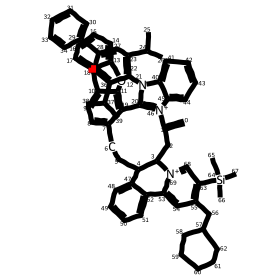 C=C1CC2C(CCc3ccc4c(oc5ccccc54)c3-c3n(-c4c(C(C)C)cc(-c5ccccc5)cc4C(C)C)c4ccccc4[n+]31)c1ccccc1-c1cc(CC3CCCCC3)c([Si](C)(C)C)c[n+]12